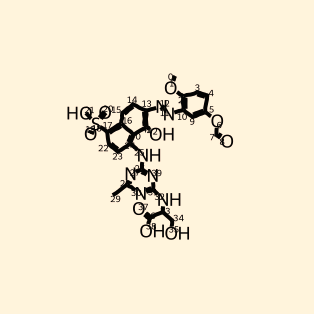 COc1ccc(OC=O)cc1N=Nc1ccc2c(S(=O)(=O)O)ccc(Nc3nc(C)nc(NC(CO)C(=O)O)n3)c2c1O